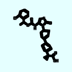 CC(OC(=O)Nc1csc(=O)n1-c1ccc(-c2ccc(C3(C(=O)O)CC3)cc2)cc1)c1ccccc1Cl